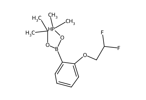 CC1(C)OB(c2ccccc2OCC(F)F)O[PH]1(C)C